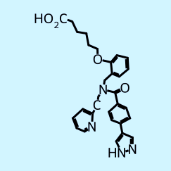 O=C(O)CCCCCOc1ccccc1CN(CCc1ccccn1)C(=O)c1ccc(-c2cn[nH]c2)cc1